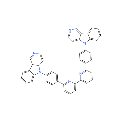 C1=CC2C(C=N1)c1ccccc1N2c1ccc(-c2cccc(-c3cccc(-c4ccc(-n5c6ccccc6c6cnccc65)cc4)n3)n2)cc1